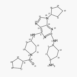 NC1CCC(Nc2nc(NC3CCN(C(=O)C4CCCC4)CC3)c3ncn(C4CCCC4)c3n2)CC1